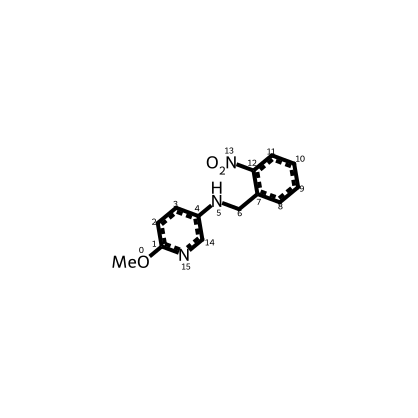 COc1ccc(NCc2ccccc2[N+](=O)[O-])cn1